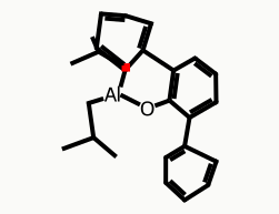 CC(C)[CH2][Al]([CH2]C(C)C)[O]c1c(-c2ccccc2)cccc1-c1ccccc1